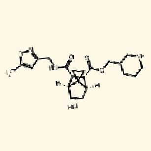 Cc1cc(CNC(=O)[C@H]2[C@H](C(=O)OCC3CCCNC3)[C@H]3CC[C@@H]2C32CC2)no1.Cl